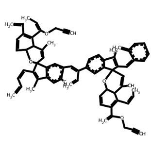 C#CCOC(=C)C1=C(/C=C\C)C2C(C)=CC3(OC2C=C1)C(/C=c1/ccccc1=C)=C(C)c1ccc(/C(C=C)=C/c2cc4c(cc2C)C(C)=C(/C=C\C=C)C42C=C(C)C4C(/C(=C\C)OCC#C)=C(C=C)C=CC4O2)cc13